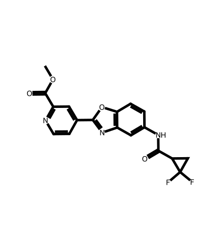 COC(=O)c1cc(-c2nc3cc(NC(=O)C4CC4(F)F)ccc3o2)ccn1